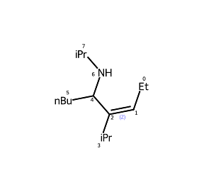 CC/C=C(/C(C)C)C(CCCC)NC(C)C